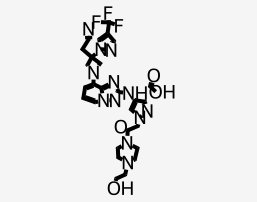 N#CCC1(n2cc(C(F)(F)F)cn2)CN(c2cccn3nc(Nc4cnn(CC(=O)N5CCN(CCO)CC5)c4)nc23)C1.O=CO